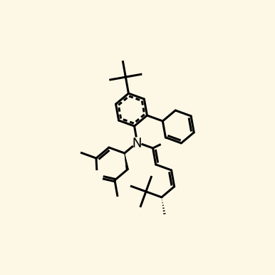 C=C(C)C[C@@H](C=C(C)C)N(/C(C)=C/C=C\[C@H](C)C(C)(C)C)c1ccc(C(C)(C)C)cc1C1C=CC=CC1